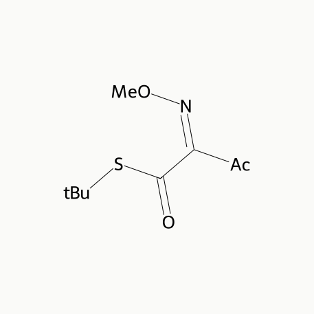 CON=C(C(C)=O)C(=O)SC(C)(C)C